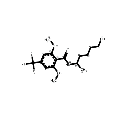 COc1cc(C(F)(F)F)cc(SC)c1C(=O)NC(C)CCCCO